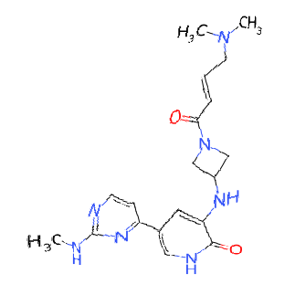 CNc1nccc(-c2c[nH]c(=O)c(NC3CN(C(=O)C=CCN(C)C)C3)c2)n1